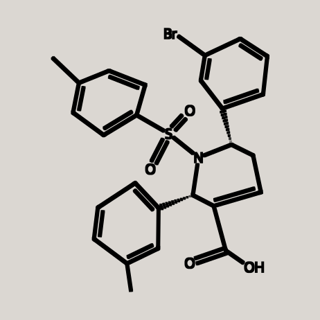 Cc1ccc(S(=O)(=O)N2[C@@H](c3cccc(C)c3)C(C(=O)O)=CC[C@H]2c2cccc(Br)c2)cc1